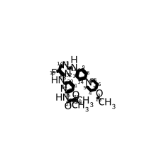 CCOC1CCN(c2ccc(Nc3ncc(F)c(Nc4ccc5c(n4)NC(=O)C(C)(C)O5)n3)cc2)CC1